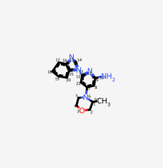 CC1COCCN1c1cc(N)nc(-n2cnc3ccccc32)c1